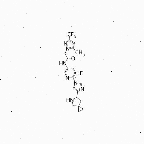 Cc1cc(C(F)(F)F)nn1CC(=O)Nc1cnc(-n2cnc([C@H]3CC4(CC4)CN3)c2)c(F)c1